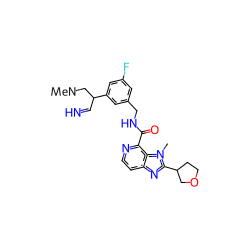 CNCC(C=N)c1cc(F)cc(CNC(=O)c2nccc3nc(C4CCOC4)n(C)c23)c1